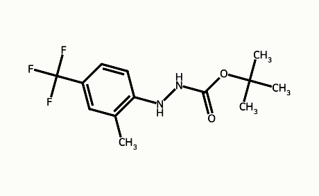 Cc1cc(C(F)(F)F)ccc1NNC(=O)OC(C)(C)C